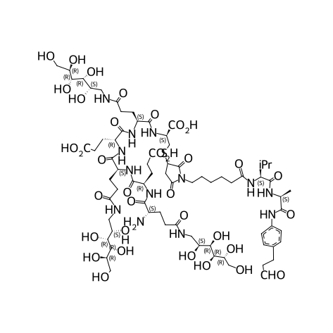 CC(C)[C@H](NC(=O)CCCCCN1C(=O)CC(SC[C@@H](NC(=O)[C@H](CCC(=O)NC[C@H](O)[C@@H](O)[C@H](O)[C@H](O)CO)NC(=O)[C@@H](CCC(=O)O)NC(=O)[C@H](CCC(=O)NC[C@H](O)[C@@H](O)[C@H](O)[C@H](O)CO)NC(=O)[C@@H](CCC(=O)O)NC(=O)[C@@H](N)CCC(=O)NC[C@H](O)[C@@H](O)[C@H](O)[C@H](O)CO)C(=O)O)C1=O)C(=O)N[C@@H](C)C(=O)Nc1ccc(CCC=O)cc1